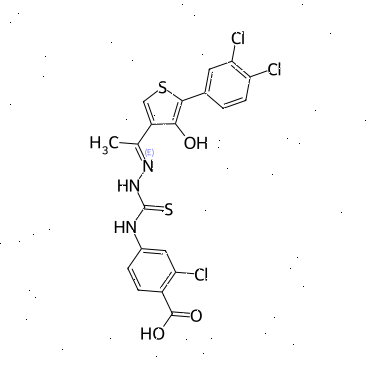 C/C(=N\NC(=S)Nc1ccc(C(=O)O)c(Cl)c1)c1csc(-c2ccc(Cl)c(Cl)c2)c1O